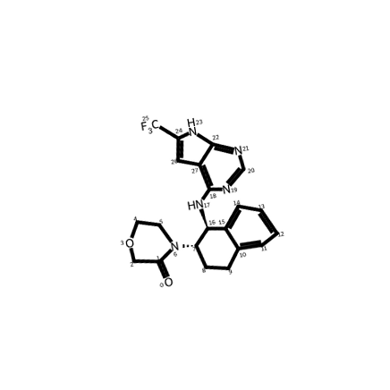 O=C1COCCN1[C@H]1CCc2ccccc2[C@@H]1Nc1ncnc2[nH]c(C(F)(F)F)cc12